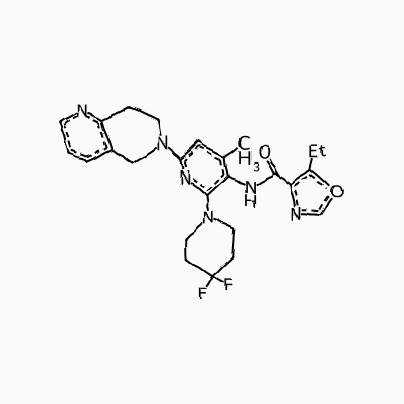 CCc1ocnc1C(=O)Nc1c(C)cc(N2CCc3ncccc3C2)nc1N1CCC(F)(F)CC1